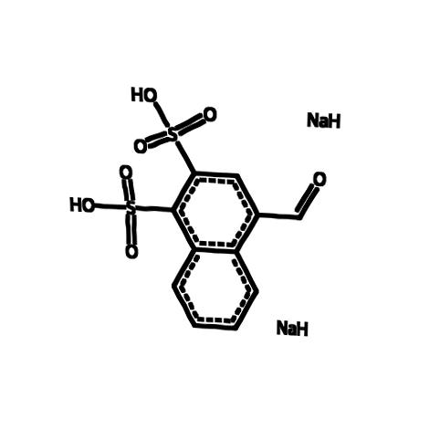 O=Cc1cc(S(=O)(=O)O)c(S(=O)(=O)O)c2ccccc12.[NaH].[NaH]